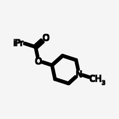 CC(C)C(=O)OC1CCN(C)CC1